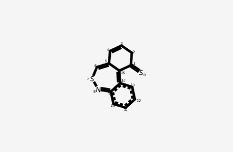 S=C1CC=CC2=CSN=c3ccccc3=C12